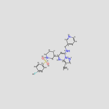 Bc1cnn2c(NCc3cccnc3)cc(C3CCCN(S(=O)(=O)c4ccc(F)cc4)C3)nc12